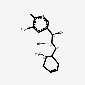 CCC[C@@H](NC1CC=CC[C@@H]1C)[C@H](O)c1cnc(Cl)c(C)c1